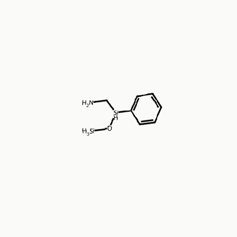 NC[SiH](O[SiH3])c1ccccc1